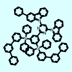 c1ccc(-c2cccc(-c3cccc([Si](c4ccccc4)(c4ccccc4)c4cc(-c5nc(-n6c7ccccc7c7ccccc76)cc(-n6c7ccccc7c7cc(-c8ccccc8)ccc76)n5)cc([Si](c5ccccc5)(c5ccccc5)c5cccc(-c6cccc(-c7ccccc7)c6)c5)c4)c3)c2)cc1